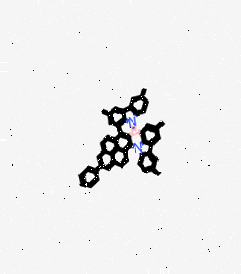 Cc1ccc2c(c1)c1cc(C)cc3c1n2B1c2c-3c3ccc4cc(-c5ccccc5)cc5ccc(c2-n2c6ccc(C)cc6c6cc(C)cc1c62)c3c45